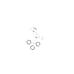 NC1C[C@@H](n2ccc(=O)[nH]c2=O)O[C@H]1COC(c1ccccc1)(c1ccccc1)c1ccccc1